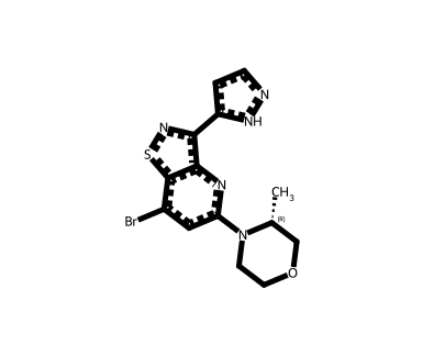 C[C@@H]1COCCN1c1cc(Br)c2snc(-c3ccn[nH]3)c2n1